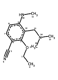 CCOc1c(C#N)ccc(NC)c1CN(C)C